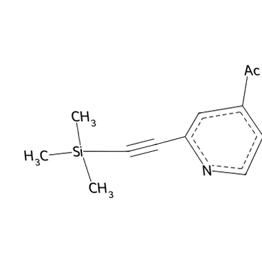 CC(=O)c1ccnc(C#C[Si](C)(C)C)c1